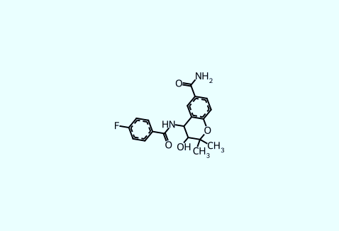 CC1(C)Oc2ccc(C(N)=O)cc2C(NC(=O)c2ccc(F)cc2)C1O